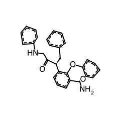 NC(=O)c1cccc([C@H](Cc2ccccc2)C(=O)CNc2ccccc2)c1Oc1ccccc1